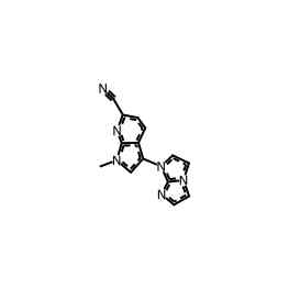 Cn1cc(-n2ccn3ccnc23)c2ccc(C#N)nc21